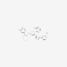 CS(=O)(=O)c1cccc(-c2ccc(-c3cc(CN4CCCCCC4c4ccc(Cl)c(Cl)c4)nn3-c3ccccc3Cl)s2)c1